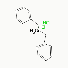 Cl.Cl.c1ccc([CH2][GeH2][CH2]c2ccccc2)cc1